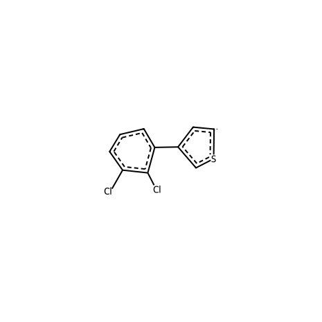 Clc1cccc(-c2c[c]sc2)c1Cl